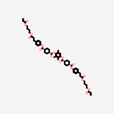 C=CC(=O)OCCCCOC(=O)CCc1ccc(OC(=O)[C@H]2CC[C@H](C(=O)Oc3cc(C)c(OC(=O)[C@H]4CC[C@H](C(=O)Oc5ccc(CCC(=O)OCCCCOC(=O)C=C)cc5)CC4)c(C)c3C)CC2)cc1